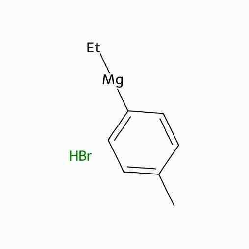 Br.C[CH2][Mg][c]1ccc(C)cc1